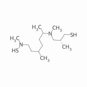 CC(CCC(C)N(C)C[C@@H](C)CS)CCN(C)S